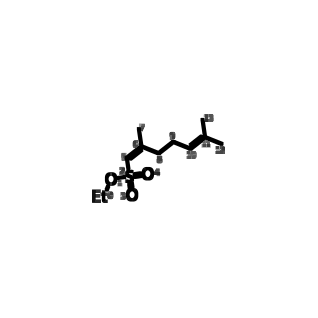 CCOS(=O)(=O)C=C(C)CCC=C(C)C